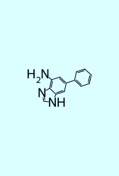 Nc1cc(-c2ccccc2)cc2[nH]cnc12